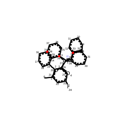 CCOC(=O)/C(=C/c1ccccc1)Cc1ccccc1-c1ccc(F)cc1P(c1ccccc1)c1ccccc1